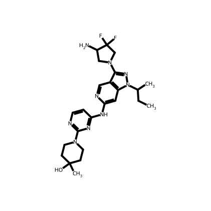 CCC(C)n1nc(N2CC(N)C(F)(F)C2)c2cnc(Nc3ccnc(N4CCC(C)(O)CC4)n3)cc21